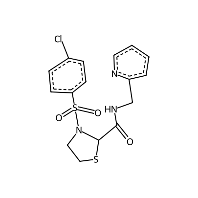 O=C(NCc1ccccn1)C1SCCN1S(=O)(=O)c1ccc(Cl)cc1